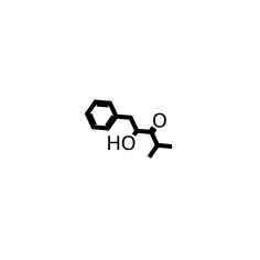 CC(C)C(=O)C(O)Cc1ccccc1